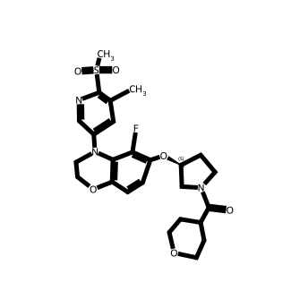 Cc1cc(N2CCOc3ccc(O[C@H]4CCN(C(=O)C5CCOCC5)C4)c(F)c32)cnc1S(C)(=O)=O